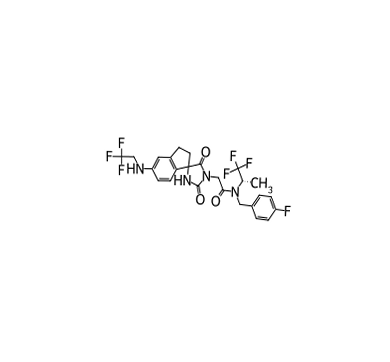 C[C@H](N(Cc1ccc(F)cc1)C(=O)CN1C(=O)NC2(CCc3cc(NCC(F)(F)F)ccc32)C1=O)C(F)(F)F